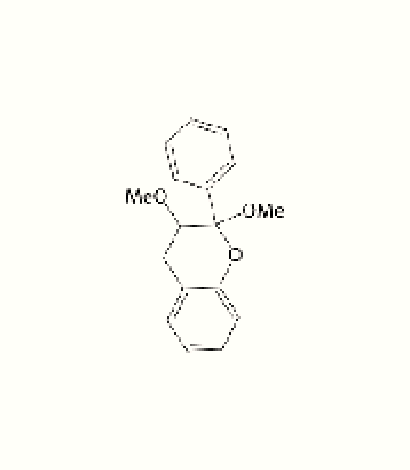 COC1Cc2ccccc2OC1(OC)c1ccccc1